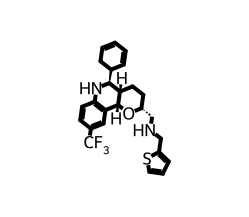 FC(F)(F)c1ccc2c(c1)[C@H]1O[C@@H](CNCc3cccs3)CC[C@H]1[C@H](C1C=CC=CC1)N2